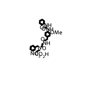 COc1cc(CC(=O)NCC(=O)N(CCC(=O)O)Cc2cccc([N+](=O)[O-])c2)ccc1NC(=O)Nc1ccccc1C